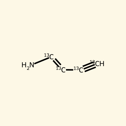 [13CH]#[13C]/[13CH]=[13CH]/N